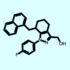 OCc1nn(-c2ccc(F)cc2)c2c1CCCC2Cc1cccc2ccccc12